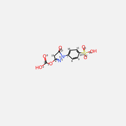 O=C(O)OC1=NN(c2ccc(S(=O)(=O)O)cc2)C(=O)C1